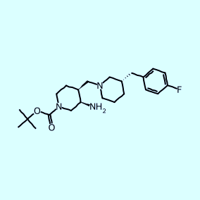 CC(C)(C)OC(=O)N1CC[C@@H](CN2CCC[C@@H](Cc3ccc(F)cc3)C2)[C@@H](N)C1